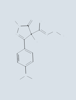 CO/N=C(\C)C1(Br)C(=O)N(C)N=C1c1ccc([S+](C)[O-])cc1